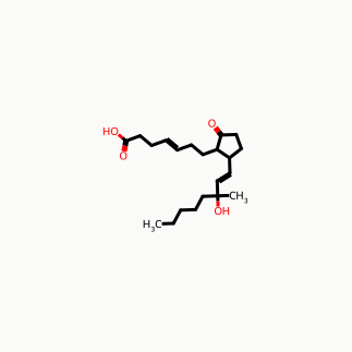 CCCCCC(C)(O)/C=C/C1CCC(=O)C1CC/C=C/CCC(=O)O